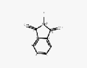 O=C1c2ccccc2C(=O)N1I